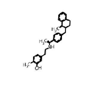 C=C(NCCc1ccc(C)c(O)c1)c1ccc(CC2CCc3ccccc3C2=C)cc1